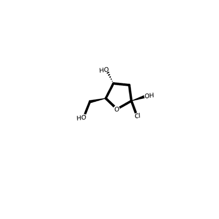 OC[C@@H]1O[C@@](O)(Cl)C[C@H]1O